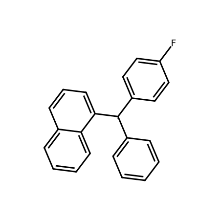 Fc1ccc([C](c2ccccc2)c2cccc3ccccc23)cc1